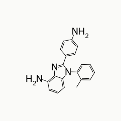 Cc1ccccc1-n1c(-c2ccc(N)cc2)nc2c(N)cccc21